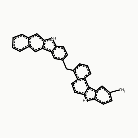 Cc1ccc2[nH]c3ccc4c(Cc5ccc6[nH]c7cc8ccccc8cc7c6c5)cccc4c3c2c1